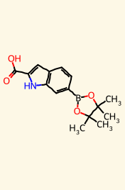 CC1(C)OB(c2ccc3cc(C(=O)O)[nH]c3c2)OC1(C)C